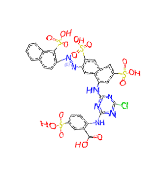 O=C(O)c1cc(S(=O)(=O)O)ccc1Nc1nc(Cl)nc(Nc2cc(S(=O)(=O)O)cc3cc(S(=O)(=O)O)c(/N=N/c4ccc5ccccc5c4S(=O)(=O)O)cc23)n1